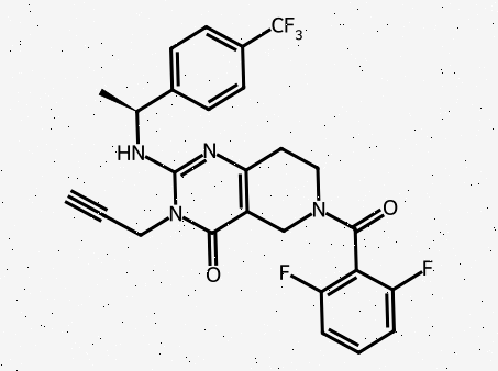 C#CCn1c(N[C@@H](C)c2ccc(C(F)(F)F)cc2)nc2c(c1=O)CN(C(=O)c1c(F)cccc1F)CC2